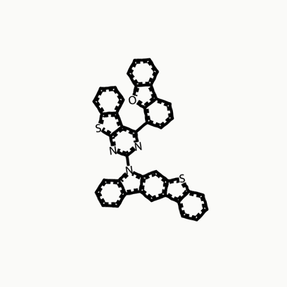 c1ccc2c(c1)oc1c(-c3nc(-n4c5ccccc5c5cc6c(cc54)sc4ccccc46)nc4sc5ccccc5c34)cccc12